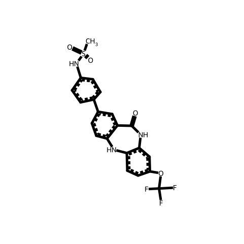 CS(=O)(=O)Nc1ccc(-c2ccc3c(c2)C(=O)Nc2cc(OC(F)(F)F)ccc2N3)cc1